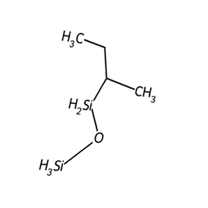 CCC(C)[SiH2]O[SiH3]